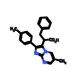 Cc1ccc(-c2nc3ncc(C)cn3c2C(Cc2ccccc2)C(=O)O)cc1